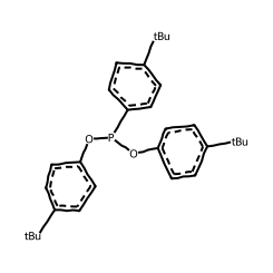 CC(C)(C)c1ccc(OP(Oc2ccc(C(C)(C)C)cc2)c2ccc(C(C)(C)C)cc2)cc1